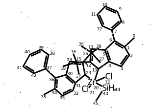 Cc1ccc2c(c1-c1ccccc1)C=C(C(C)(C)C)[CH]2[Zr]([Cl])([Cl])([CH]1C(C(C)(C)C)=Cc2c1ccc(C)c2-c1ccccc1)[SiH](C)C